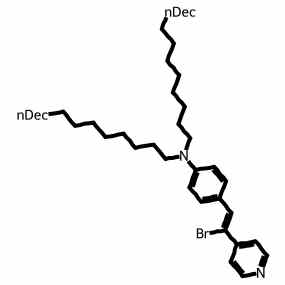 CCCCCCCCCCCCCCCCCCN(CCCCCCCCCCCCCCCCCC)c1ccc(/C=C(\Br)c2ccncc2)cc1